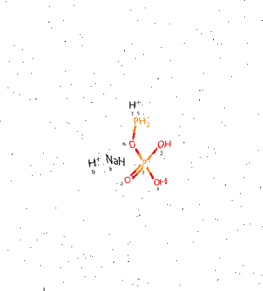 O=P(O)(O)OP.[H+].[H+].[NaH]